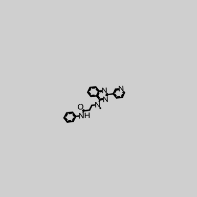 CN(CCC(=O)Nc1ccccc1)c1nc(-c2cccnc2)nc2ccccc12